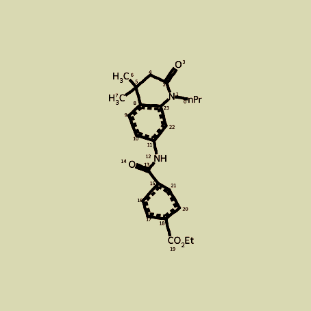 CCCN1C(=O)CC(C)(C)c2ccc(NC(=O)c3ccc(C(=O)OCC)cc3)cc21